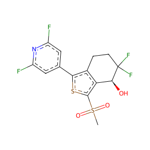 CS(=O)(=O)c1sc(-c2cc(F)nc(F)c2)c2c1[C@H](O)C(F)(F)CC2